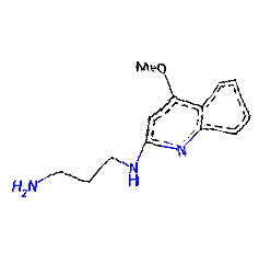 COc1cc(NCCCN)nc2ccccc12